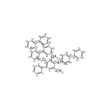 Cc1cc(-c2ccccc2)c(C)c(C)c1C.c1ccc(-c2ccccc2)cc1.c1ccc(-c2ccccc2)cc1.c1ccc(-c2ccccc2)cc1